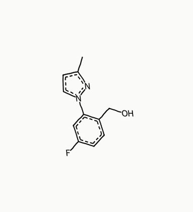 Cc1ccn(-c2cc(F)ccc2CO)n1